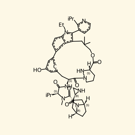 CCn1c(-c2cccnc2C(C)C)c2c3cc(ccc31)-c1cc(O)cc(c1)C[C@H](NC(=O)[C@H](C(C)C)N(C)C(=O)[C@H]1C[C@H]3CC[C@@H](C1)N3C(=O)[C@H]1CN1)C(=O)N1CCC[C@H](N1)C(=O)OCC(C)(C)C2